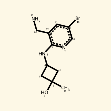 CC1(O)CC(Nc2ncc(Br)cc2CN)C1